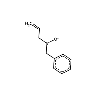 C=CC[S+]([O-])Cc1ccccc1